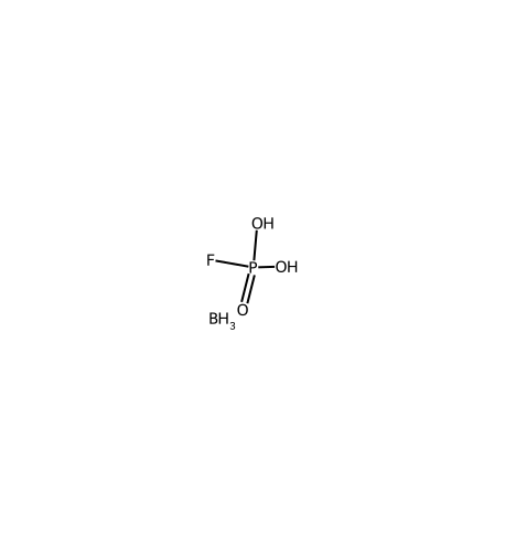 B.O=P(O)(O)F